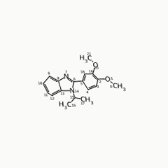 COc1ccc(-c2nc3ccccc3n2C(C)C)cc1OC